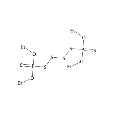 CCOP(=S)(OCC)SSSSP(=S)(OCC)OCC